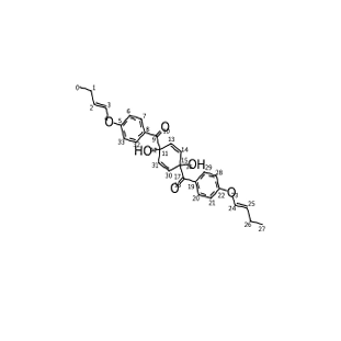 CCC=COc1ccc(C(=O)C2(O)C=CC(O)(C(=O)c3ccc(OC=CCC)cc3)C=C2)cc1